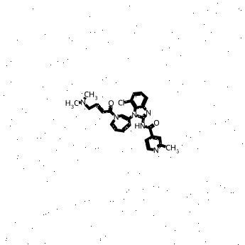 Cc1cc(C(=O)Nc2nc3cccc(Cl)c3n2C2=CN(C(=O)/C=C/CN(C)C)C=CC=C2)ccn1